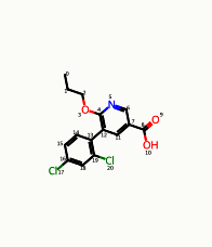 CCCOc1ncc(C(=O)O)cc1-c1ccc(Cl)cc1Cl